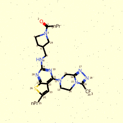 CCCC(=O)N1CCC(CNc2nc(N3CCn4c(nnc4C(F)(F)F)C3)c3cc(CCC)sc3n2)C1